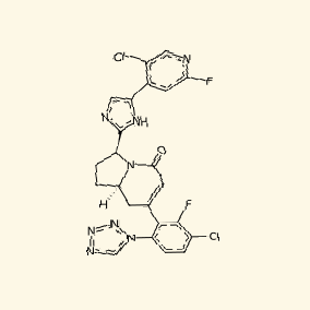 O=C1C=C(c2c(-n3cnnn3)ccc(Cl)c2F)C[C@H]2CC[C@@H](c3ncc(-c4cc(F)ncc4Cl)[nH]3)N12